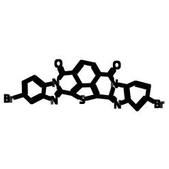 O=c1c2ccc3c(=O)n4c5ccc(Br)cc5nc4c4sc(c2c34)c2nc3cc(Br)ccc3n12